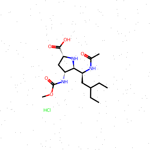 CCC(CC)C[C@H](NC(C)=O)[C@@H]1N[C@@H](C(=O)O)C[C@H]1NC(=O)OC.Cl